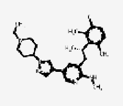 CCN1CCC(n2cc(-c3cnc(NC)c(C[C@H](C)c4c(C)ccc(F)c4C)c3)cn2)CC1